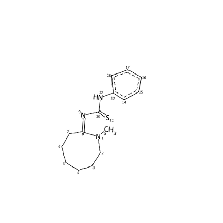 CN1CCCCCC/C1=N/C(=S)Nc1ccccc1